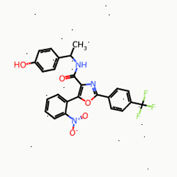 CC(NC(=O)c1nc(-c2ccc(C(F)(F)F)cc2)oc1-c1ccccc1[N+](=O)[O-])c1ccc(O)cc1